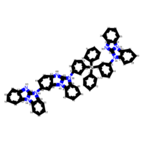 c1ccc([Si](c2ccccc2)(c2cccc(-n3c4ccccc4n4c5ccccc5nc34)c2)c2cccc(-n3c4ccccc4n4c5cc(-n6c7ccccc7n7c8ccccc8nc67)ccc5nc34)c2)cc1